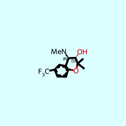 CN[C@@H]1c2cc(C(F)(F)F)ccc2OC(C)(C)[C@H]1O